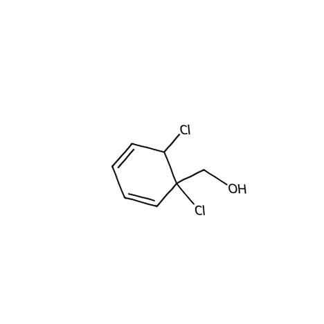 OCC1(Cl)C=CC=CC1Cl